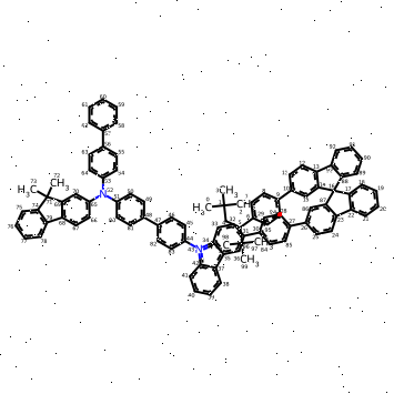 CC(C)(C)CC(c1ccc(-c2ccc3c(c2)C2(c4ccccc4-c4ccc(-c5ccc(-c6ccc7c(c6)c6ccccc6n7-c6ccc(-c7ccc(N(c8ccc(-c9ccccc9)cc8)c8ccc9c(c8)C(C)(C)c8ccccc8-9)cc7)cc6)cc5)cc42)c2ccccc2-3)cc1)C(C)(C)C